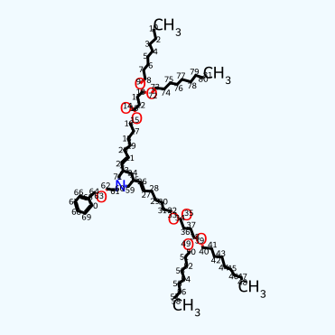 CCCCCCCCCOC(CCC(=O)OCCCCCC=CC1CC(C=CCCCCCOC(=O)CCC(OCCCCCCCCC)OCCCCCCCCC)CN(CCOCc2ccccc2)C1)OCCCCCCCCC